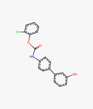 O=C(Nc1ccc(-c2cccc(O)c2)cc1)Oc1ccccc1Cl